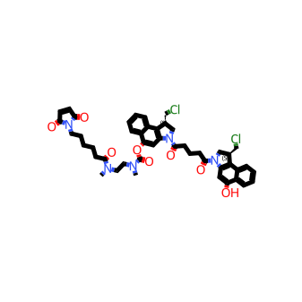 CN(CCN(C)C(=O)Oc1cc2c(c3ccccc13)[C@H](CCl)CN2C(=O)CCCC(=O)N1C[C@@H](CCl)c2c1cc(O)c1ccccc21)C(=O)CCCCCN1C(=O)C=CC1=O